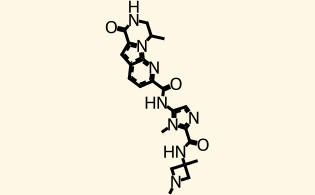 CC1CNC(=O)c2cc3ccc(C(=O)Nc4cnc(C(=O)NC5(C)CN(C)C5)n4C)nc3n21